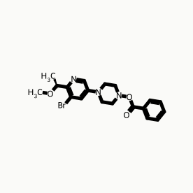 CO[C@@H](C)c1ncc(N2CCN(OC(=O)c3ccccc3)CC2)cc1Br